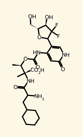 C[C@@H](OC(=O)Nc1cc(=O)[nH]cc1C1O[C@H](CO)[C@@H](O)C1(F)F)[C@@](C)(NC(=O)C(N)CC1CCCCC1)C(=O)O